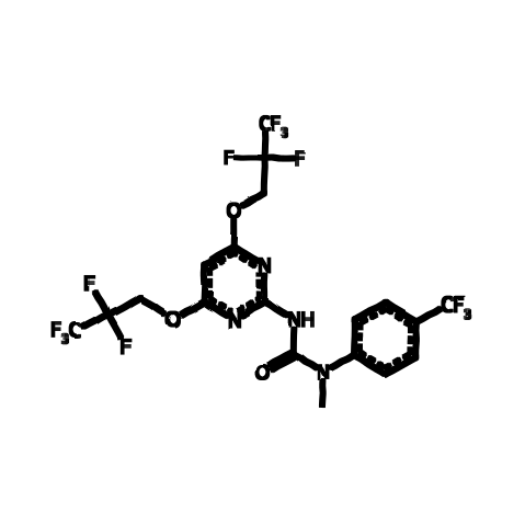 CN(C(=O)Nc1nc(OCC(F)(F)C(F)(F)F)cc(OCC(F)(F)C(F)(F)F)n1)c1ccc(C(F)(F)F)cc1